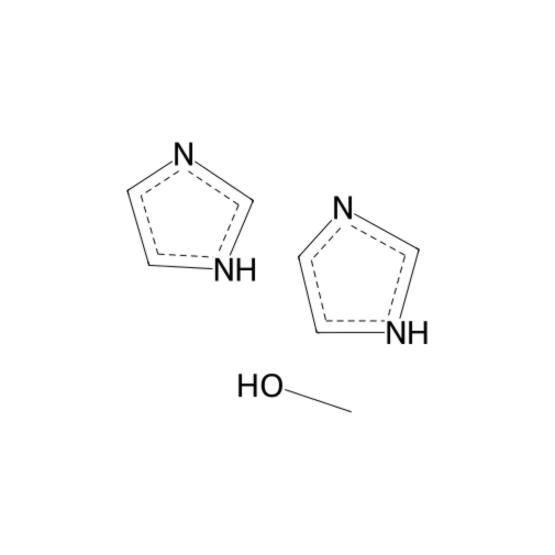 CO.c1c[nH]cn1.c1c[nH]cn1